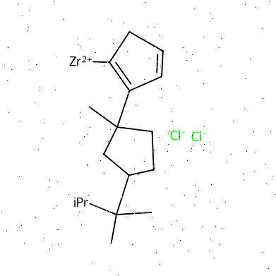 CC(C)C(C)(C)C1CCC(C)(C2=[C]([Zr+2])CC=C2)C1.[Cl-].[Cl-]